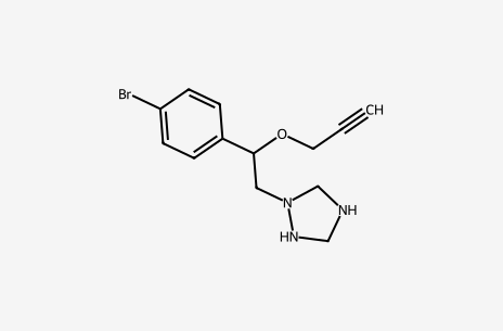 C#CCOC(CN1CNCN1)c1ccc(Br)cc1